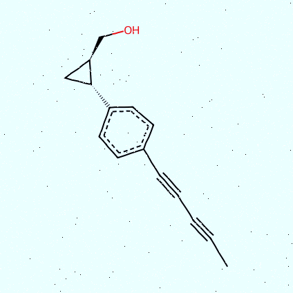 CC#CC#Cc1ccc([C@@H]2C[C@H]2CO)cc1